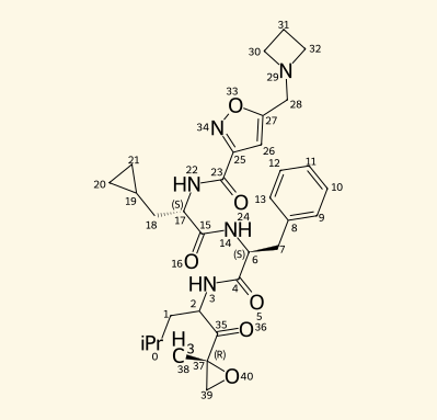 CC(C)CC(NC(=O)[C@H](Cc1ccccc1)NC(=O)[C@H](CC1CC1)NC(=O)c1cc(CN2CCC2)on1)C(=O)[C@@]1(C)CO1